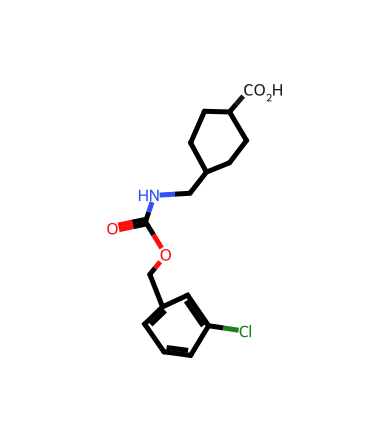 O=C(NCC1CCC(C(=O)O)CC1)OCc1cccc(Cl)c1